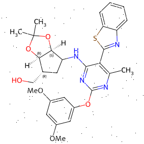 COc1cc(OC)cc(Oc2nc(C)c(-c3nc4ccccc4s3)c(NC3C[C@H](CO)[C@H]4OC(C)(C)O[C@@H]34)n2)c1